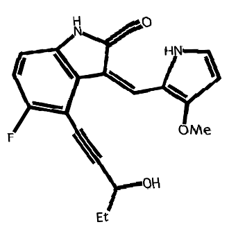 CCC(O)C#Cc1c(F)ccc2c1C(=Cc1[nH]ccc1OC)C(=O)N2